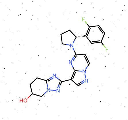 OC1CCc2nc(-c3cnn4ccc(N5CCC[C@@H]5c5cc(F)ccc5F)nc34)nn2C1